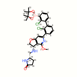 COc1nc(-c2cccc(-c3cccc(B4OC(C)(C)C(C)(C)O4)c3Cl)c2Cl)cc2c1[C@H](NC[C@@H]1CCC(=O)N1)CO2